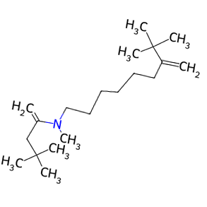 C=C(CC(C)(C)C)N(C)CCCCCCC(=C)C(C)(C)C